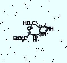 CCOC(=O)C(=O)Nc1n[nH]cc1C(=O)O